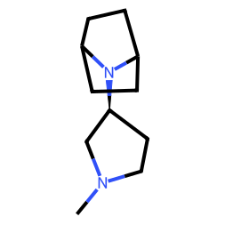 CN1CC[C@H](N2C3CCC2CC3)C1